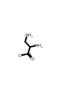 NCC(N)C(=O)Cl